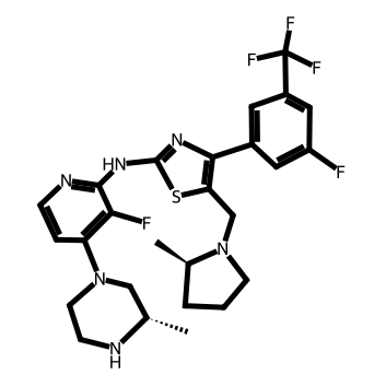 C[C@@H]1CCCN1Cc1sc(Nc2nccc(N3CCN[C@@H](C)C3)c2F)nc1-c1cc(F)cc(C(F)(F)F)c1